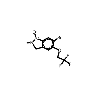 CN1Cc2cc(OCC(F)(F)F)c(Br)cc2[S+]1[O-]